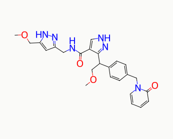 COCc1cc(CNC(=O)c2c[nH]nc2C(COC)c2ccc(Cn3ccccc3=O)cc2)n[nH]1